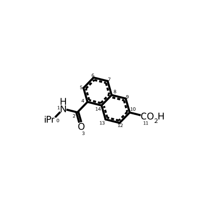 CC(C)NC(=O)c1cccc2cc(C(=O)O)ccc12